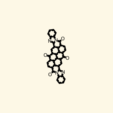 O=c1c2ccc3c(=O)n4c5ccccc5nc4c4cc5c(=O)c6ccc7c(=O)n8c9ccccc9nc8c8cc1c(c6c78)c5c2c34